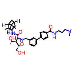 C[C@H](O)[C@@H]1[C@H](CO)ON(Cc2cccc(-c3ccc(C(=O)NCCCN(C)C)cc3)c2)[C@@H]1C(=O)NC1C[C@H]2C[C@@H]([C@@H]1C)C2(C)C